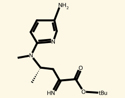 C[C@@H](CC(=N)C(=O)OC(C)(C)C)N(C)c1ccc(N)cn1